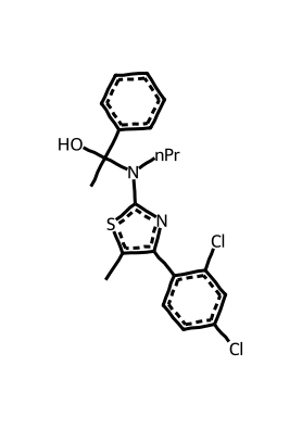 CCCN(c1nc(-c2ccc(Cl)cc2Cl)c(C)s1)C(C)(O)c1ccccc1